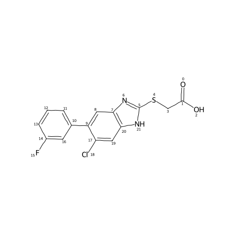 O=C(O)CSc1nc2cc(-c3cccc(F)c3)c(Cl)cc2[nH]1